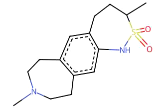 CC1CCc2cc3c(cc2NS1(=O)=O)CCN(C)CC3